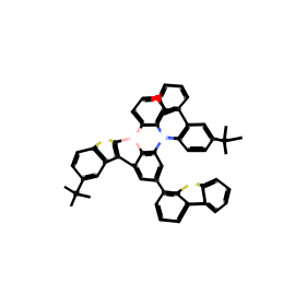 CC(C)(C)c1ccc(N2c3ccccc3B3c4sc5ccc(C(C)(C)C)cc5c4-c4cc(-c5cccc6c5sc5ccccc56)cc2c43)c(-c2ccccc2)c1